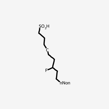 CCCCCCCCCCCC(F)CCCCCCS(=O)(=O)O